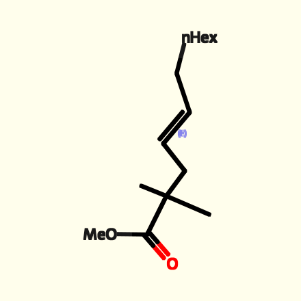 CCCCCCC/C=C/CC(C)(C)C(=O)OC